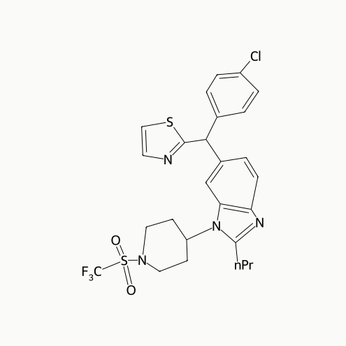 CCCc1nc2ccc(C(c3ccc(Cl)cc3)c3nccs3)cc2n1C1CCN(S(=O)(=O)C(F)(F)F)CC1